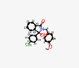 COc1ccc(CN2C(=O)c3ccccc3C2(O)c2ccc(Cl)cc2)cc1